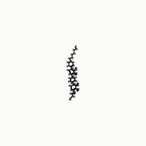 CCCCCCCC1CC=C(c2ccc(-c3ccc(-c4ccc(OCCC)c(F)c4F)cc3)c(F)c2F)CC1